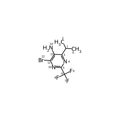 CC(C)c1nc(C(F)(F)F)nc(Br)c1N